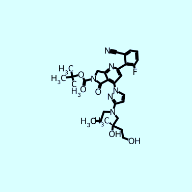 CCCN(C[C@@](C)(O)CCO)c1ccn(-c2cc(-c3c(F)cccc3C#N)nc3c2C(=O)N(C(=O)OC(C)(C)C)C3)n1